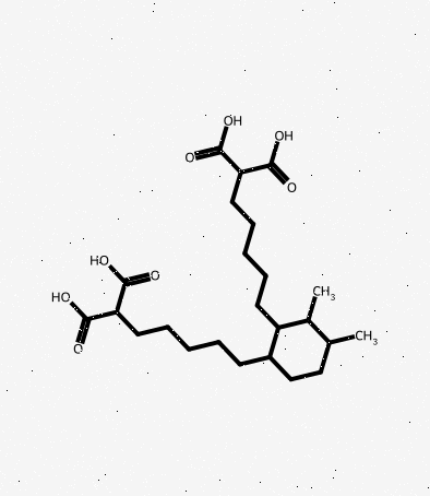 CC1CCC(CCCCCC(C(=O)O)C(=O)O)C(CCCCCC(C(=O)O)C(=O)O)C1C